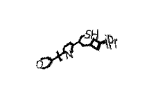 CC(C)C1CC(CC(CS)c2ccc(C(C)(C)C3CCOCC3)nc2)C1